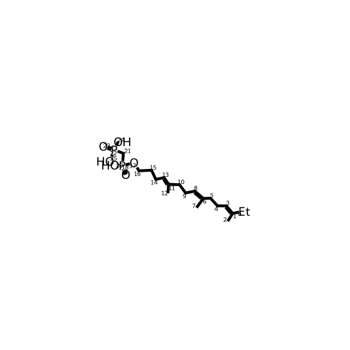 CC/C(C)=C/CC/C(C)=C/CC/C(C)=C/CCCOP(=O)(O)CP(=O)(O)O